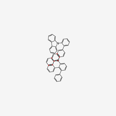 c1ccc(-c2ccccc2-c2c(-c3ccccc3)cccc2N(c2ccccc2)c2ccc(-c3ccccc3-n3c4ccccc4c4ccccc43)cc2)cc1